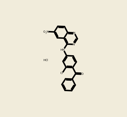 Cl.O=C(c1ccccc1)c1ccc(Nc2ncnc3ccc([N+](=O)[O-])cc23)cc1Cl